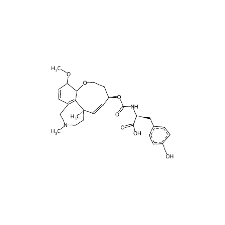 COC1C=CC2=C3C1OCC[C@@H](OC(=O)N[C@@H](Cc1ccc(O)cc1)C(=O)O)/C=C\[C@@]3(C)CCN(C)C2